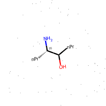 CCCC(O)[C@@H](N)CCC